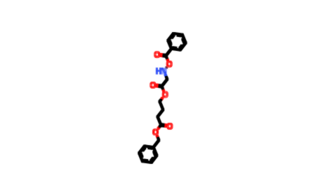 O=C(CCCOC(=O)CNOC(=O)c1ccccc1)OCc1ccccc1